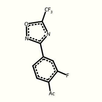 CC(=O)c1ccc(-c2noc(C(F)(F)F)n2)cc1F